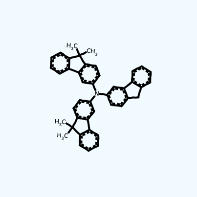 CC1(C)c2ccccc2-c2cc(N(c3ccc4c(c3)-c3ccccc3C4)c3ccc4c(c3)-c3ccccc3C4(C)C)ccc21